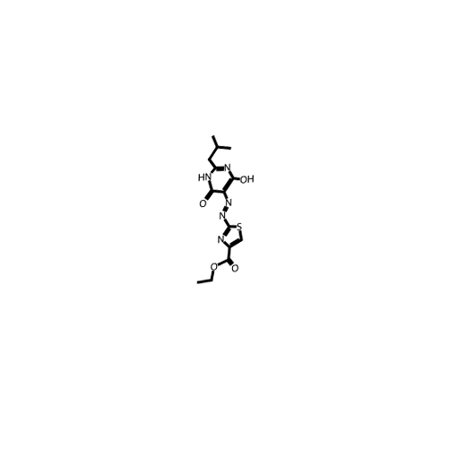 CCOC(=O)c1csc(N=Nc2c(O)nc(CC(C)C)[nH]c2=O)n1